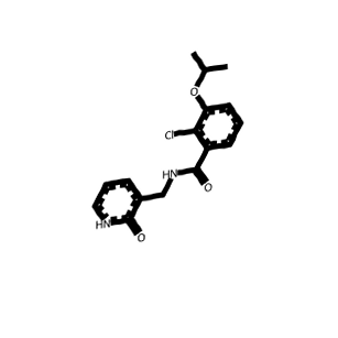 CC(C)Oc1cccc(C(=O)NCc2ccc[nH]c2=O)c1Cl